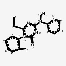 CCc1nc(N(N)c2ccccn2)nc(=O)n1-c1ccccc1C